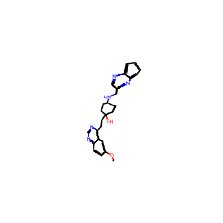 COc1ccc2ncnc(CCC3(O)CCC(NCc4cnc5ccccc5n4)CC3)c2c1